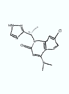 C[C@@H](c1nc[nH]n1)n1c(=O)nc(N(C)C)c2ccc(Cl)cc21